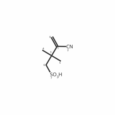 C=C(C#N)C(C)(C)CS(=O)(=O)O